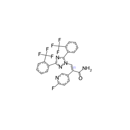 NC(=O)/C(=C/n1nc(-c2ccccc2C(F)(F)F)nc1-c1ccccc1C(F)(F)F)c1ccc(F)nc1